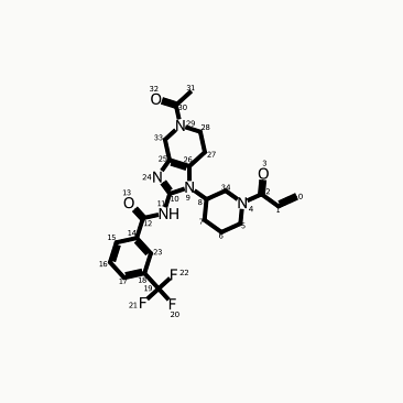 C=CC(=O)N1CCCC(n2c(NC(=O)c3cccc(C(F)(F)F)c3)nc3c2CCN(C(C)=O)C3)C1